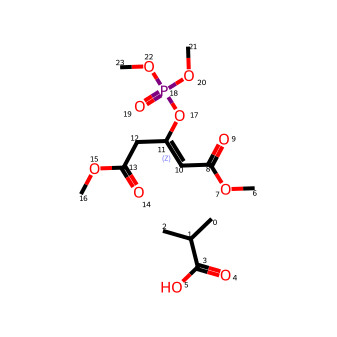 CC(C)C(=O)O.COC(=O)/C=C(/CC(=O)OC)OP(=O)(OC)OC